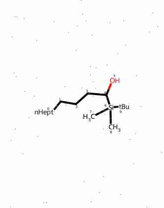 CCCCCCCCCCC(O)[Si](C)(C)C(C)(C)C